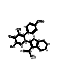 COc1ccc(-c2c(C#N)c(=O)c(C(C)=O)nn2-c2sc3c(c2C(N)=O)CCCC3)cc1